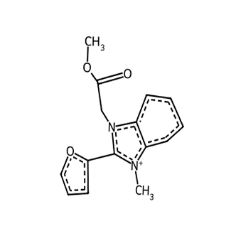 COC(=O)Cn1c(-c2ccco2)[n+](C)c2ccccc21